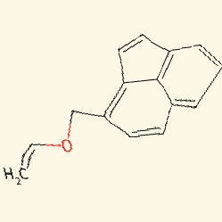 C=COCc1ccc2cccc3c2c1C=C3